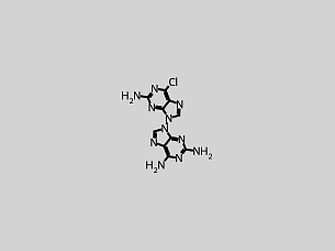 Nc1nc(N)c2ncn(-n3cnc4c(Cl)nc(N)nc43)c2n1